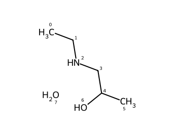 CCNCC(C)O.O